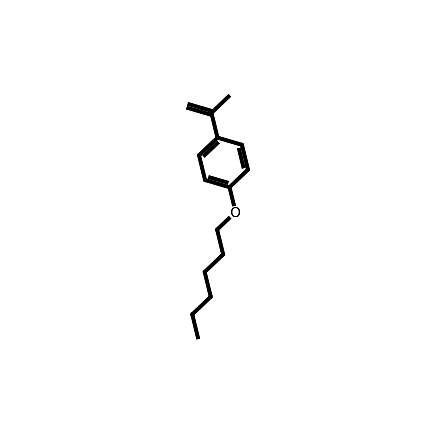 C=C(C)c1ccc(OCCCCCC)cc1